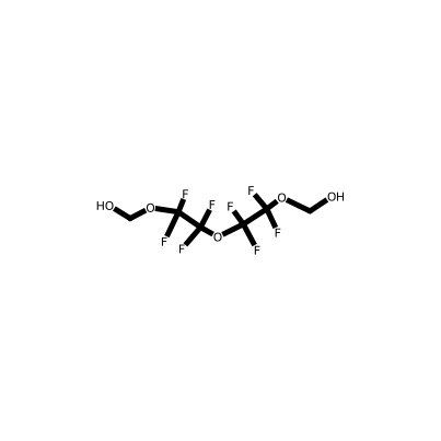 OCOC(F)(F)C(F)(F)OC(F)(F)C(F)(F)OCO